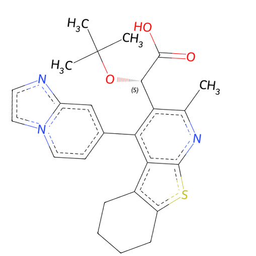 Cc1nc2sc3c(c2c(-c2ccn4ccnc4c2)c1[C@H](OC(C)(C)C)C(=O)O)CCCC3